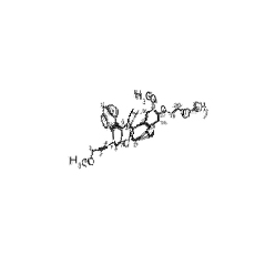 COCC#Cc1cc(Cl)c(Nc2ncnc3cc(OCCOC)c(OC)cc23)c2c1OCO2